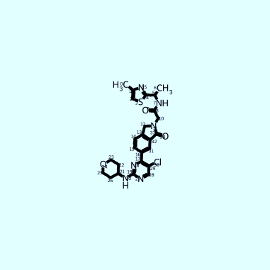 Cc1csc(C(C)NC(=O)CN2Cc3ccc(-c4nc(NC5CCOCC5)ncc4Cl)cc3C2=O)n1